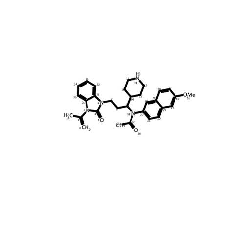 C=C(C)n1c(=O)n(CCC(C2CCNCC2)N(C(=O)CC)c2ccc3cc(OC)ccc3c2)c2ccccc21